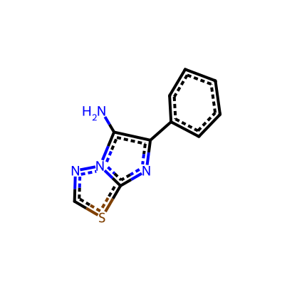 Nc1c(-c2ccccc2)nc2scnn12